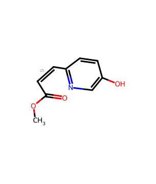 COC(=O)/C=C\c1ccc(O)cn1